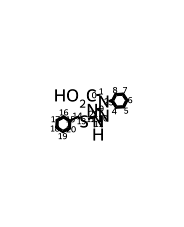 O=C(O)CN(c1ccccc1)c1n[nH]c(SCc2ccccc2)n1